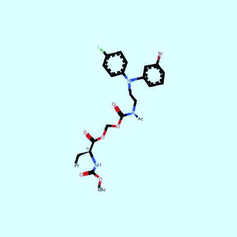 CC(=O)N(CCN(c1ccc(F)cc1)c1cccc(Br)c1)C(=O)OCOC(=O)[C@H](CC(C)C)NC(=O)OC(C)(C)C